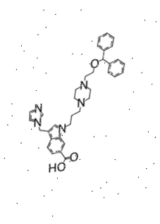 O=C(O)c1ccc2c(Cn3ccnc3)cn(CCCN3CCN(CCOC(c4ccccc4)c4ccccc4)CC3)c2c1